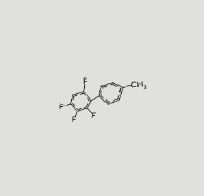 Cc1ccc(-c2c(F)cc(F)c(F)c2F)cc1